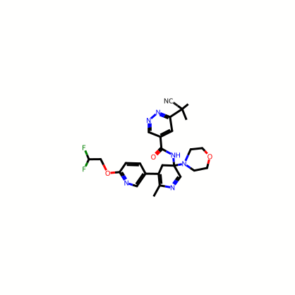 CC1=C(c2ccc(OCC(F)F)nc2)CC(NC(=O)c2cnnc(C(C)(C)C#N)c2)(N2CCOCC2)C=N1